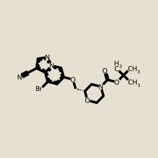 CC(C)(C)OC(=O)N1CCO[C@H](COc2cc(Br)c3c(C#N)cnn3c2)C1